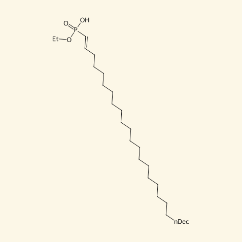 CCCCCCCCCCCCCCCCCCCCCCCCCCCCC=CP(=O)(O)OCC